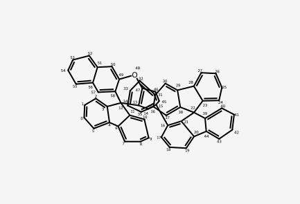 c1ccc2c(c1)-c1ccccc1C21c2cc(-c3cccc4c3C3(c5ccccc5-c5cc6ccccc6cc53)c3ccccc3-4)ccc2Oc2cc3ccccc3cc21